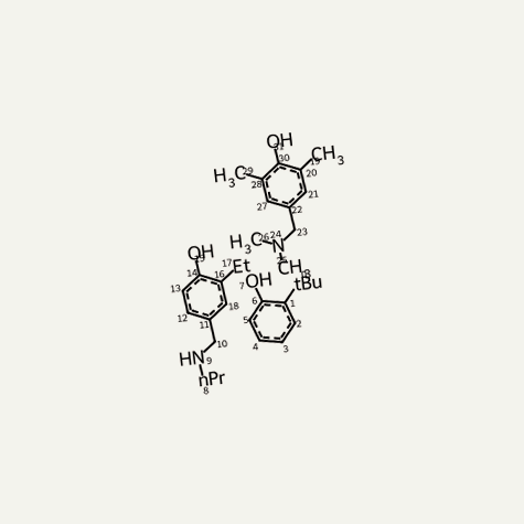 CC(C)(C)c1ccccc1O.CCCNCc1ccc(O)c(CC)c1.Cc1cc(CN(C)C)cc(C)c1O